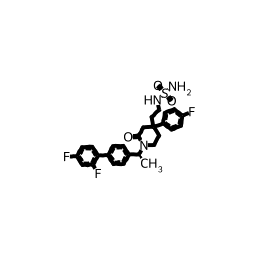 C[C@@H](c1ccc(-c2ccc(F)cc2F)cc1)N1CCC(CCNS(N)(=O)=O)(c2ccc(F)cc2)CC1=O